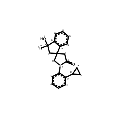 [2H]C1(O)CC2(CC(=O)N(c3ccccc3C3CC3)C2)c2ccccc21